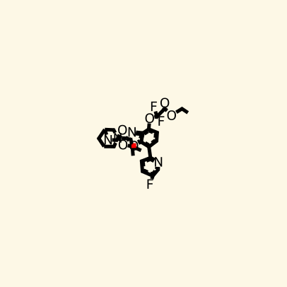 CCOC(=O)C(F)(F)Oc1ccc(-c2ccc(F)cn2)c2oc(N3CC4CC(C3)N4C(=O)OC(C)(C)C)nc12